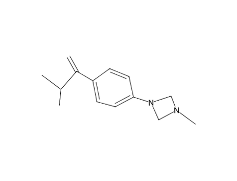 C=C(c1ccc(N2CN(C)C2)cc1)C(C)C